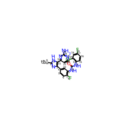 CC(C)(C)c1nc(-c2ccc(F)c(NC(=O)Nc3ccc(F)cc3Cl)c2)c(-c2ccnc(N)n2)[nH]1